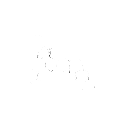 CC[C@H]1CN2CCc3cc(OC)c(OC)cc3[C@@H]2C[C@H]1C[C@@H]1c2cc(OC)c(OC)cc2CCN1C(=O)N(C)C